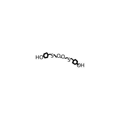 Oc1ccc(CSCCOCOCCSCc2ccc(O)cc2)cc1